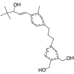 Cc1cc(CCCc2ccc(CO)c(CO)c2)ccc1C=CC(O)C(C)(C)C